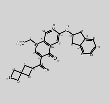 CCn1cc(C(=O)N2CC3(COC3)C2)c(=O)c2cc(OC3Cc4ccccc4C3)ncc21